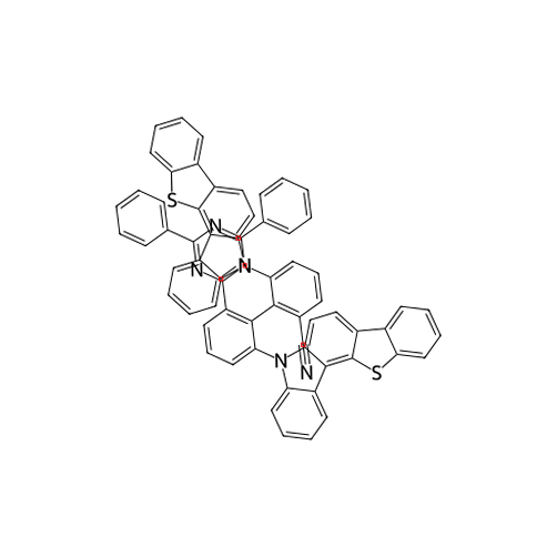 N#Cc1cccc(-n2c3ccccc3c3c4sc5ccccc5c4ccc32)c1-c1c(-c2nc(-c3ccccc3)nc(-c3ccccc3)n2)cccc1-n1c2ccccc2c2c3sc4ccccc4c3ccc21